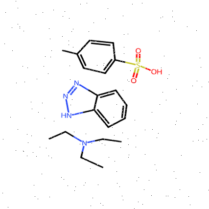 CCN(CC)CC.Cc1ccc(S(=O)(=O)O)cc1.c1ccc2[nH]nnc2c1